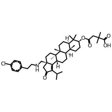 CC(C)C1=C2[C@H]3CC[C@@H]4[C@@]5(C)CC[C@H](OC(=O)CC(C)(C)C(=O)O)C(C)(C)[C@@H]5CC[C@@]4(C)[C@]3(C)CC[C@@]2(CNCCc2ccc(Cl)cc2)CC1=O